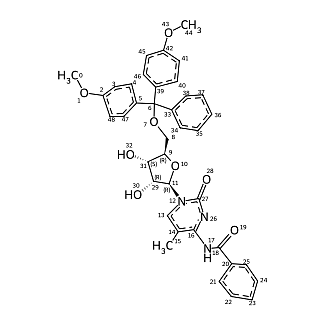 COc1ccc(C(OC[C@H]2O[C@@H](n3cc(C)c(NC(=O)c4ccccc4)nc3=O)[C@H](O)[C@@H]2O)(c2ccccc2)c2ccc(OC)cc2)cc1